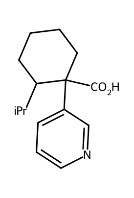 CC(C)C1CCCCC1(C(=O)O)c1cccnc1